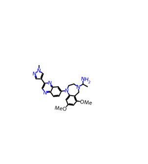 COc1cc(OC)c2c(c1)N(c1ccc3ncc(-c4cnn(C)c4)nc3c1)CCN(C(C)N)C2